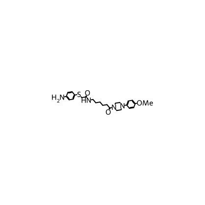 COc1ccc(N2CCN(C(=O)CCCCCNC(=O)CSc3ccc(N)cc3)CC2)cc1